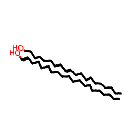 CCCCCCCCCCC=CCCCCCCCCO.CCCCCCCCCCCCCCCCCCC=CO